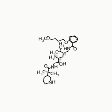 COCCCCOc1ccccc1C(=O)NC[C@@H](C[C@H](N)[C@@H](O)CNC(=O)C(C)(C)C1CCCNC1)C(C)C